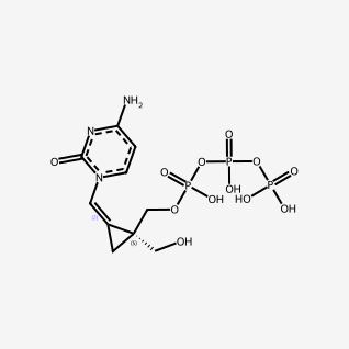 Nc1ccn(/C=C2/C[C@]2(CO)COP(=O)(O)OP(=O)(O)OP(=O)(O)O)c(=O)n1